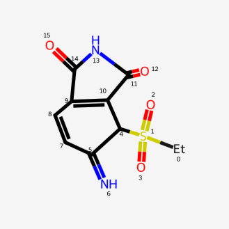 CCS(=O)(=O)C1C(=N)C=CC2=C1C(=O)NC2=O